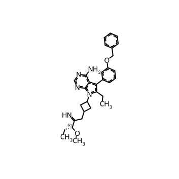 CCc1c(-c2cccc(OCc3ccccc3)c2)c2c(N)ncnc2n1C1CC(CC(=N)[C@@H](CC)OC)C1